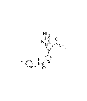 NC(=O)c1cc(-c2csc(C(=O)NCc3ccc(F)cc3)c2)cn2nc(N)nc12